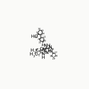 CCC(Nc1nc(NCc2ccc(-c3ccccc3O)cc2)c2ncn(C3CCCC3)c2n1)C(C)O